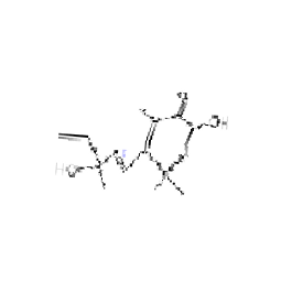 C=CC(C)(O)/C=C/C1=C(C)C(=O)C(O)CC1(C)C